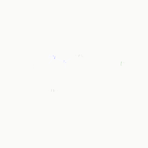 CCCCN1NC(C)C(C=O)=C1Cc1ccc(Br)cc1